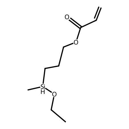 C=CC(=O)OCCC[SiH](C)OCC